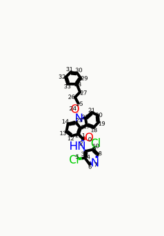 O=C(Nc1c(Cl)cncc1Cl)c1cccc2c1c1ccccc1n2OCCCc1ccccc1